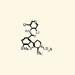 COc1ccc(C(=O)Nc2c(Cl)cncc2Cl)c2c3c(sc12)C(C(C)(C)C)N(C(=O)O)CC3